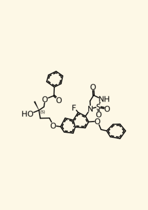 C[C@](O)(CCOc1ccc2cc(OCc3ccccc3)c(N3CC(=O)NS3(=O)=O)c(F)c2c1)COC(=O)c1ccccc1